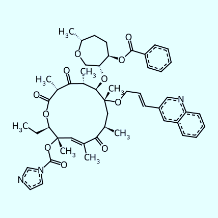 CC[C@H]1OC(=O)[C@H](C)C(=O)[C@H](C)[C@@H](O[C@@H]2CO[C@H](C)CC[C@H]2OC(=O)c2ccccc2)[C@](C)(OC/C=C/c2cnc3ccccc3c2)C[C@@H](C)C(=O)/C(C)=C/[C@]1(C)OC(=O)n1ccnc1